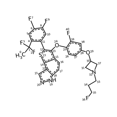 CC(F)(F)c1cc(F)c(F)cc1-c1sc2c(ccc3[nH]ncc32)c1Oc1ccc(OC2CN(CCCF)C2)cc1F